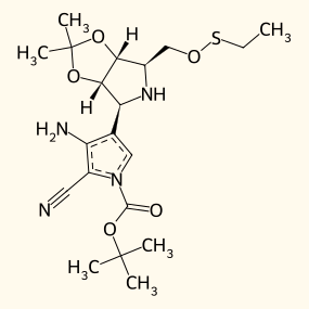 CCSOC[C@H]1N[C@@H](c2cn(C(=O)OC(C)(C)C)c(C#N)c2N)[C@@H]2OC(C)(C)O[C@@H]21